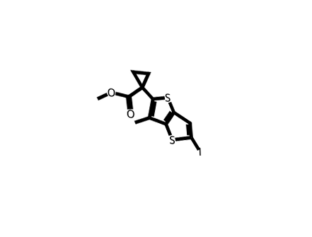 COC(=O)C1(c2sc3cc(I)sc3c2C)CC1